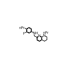 CCCc1ccc(NCc2ccc3c(n2)N(CCC)CCC3)cc1F